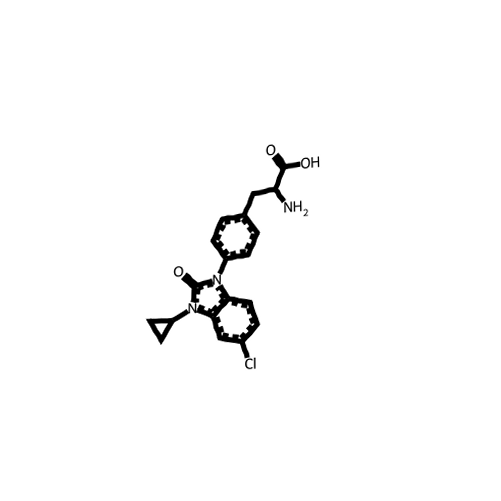 NC(Cc1ccc(-n2c(=O)n(C3CC3)c3cc(Cl)ccc32)cc1)C(=O)O